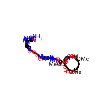 CO[C@H]1C[C@@H]2CC[C@@H](C)[C@@](O)(O2)C(=O)C(=O)N2CCCC[C@H]2C(=O)O[C@H]([C@H](O)C[C@@H]2CC[C@@H](OC(=O)NCc3cnc(N4CCN(c5cnc(C(=O)NCCOCCOCCC(=O)N6CCc7cc(Cn8nc(-c9ccc%10oc(N)nc%10c9)c9c(N)ncnc98)ccc7C6)cn5)CC4)nc3)[C@H](OC)C2)CC(=O)[C@H](C)/C=C(\C)[C@@H](O)[C@@H](OC)C(=O)[C@H](C)C[C@H](C)/C=C/C=C/C=C/1C